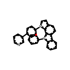 c1ccc(-n2c3ccccc3c3ccc4ccn(-c5ccc(-c6cccnc6)cc5)c4c32)cc1